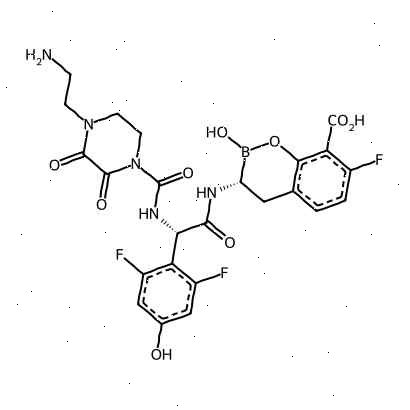 NCCN1CCN(C(=O)N[C@H](C(=O)N[C@H]2Cc3ccc(F)c(C(=O)O)c3OB2O)c2c(F)cc(O)cc2F)C(=O)C1=O